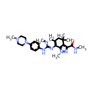 C=N/C(=N\C1=C(C)CC(C)(C)c2c(C(=O)NC)nn(C)c21)Nc1ccc(N2CCN(C)CC2)cc1